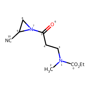 CCOC(=O)N(C)CCC(=O)N1CC1C#N